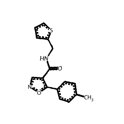 Cc1ccc(-c2oncc2C(=O)NCc2cccs2)cc1